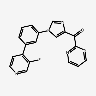 O=C(c1cn(-c2cccc(-c3ccncc3F)c2)cn1)c1ncccn1